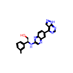 Cc1cccc([C@@H](CO)Nc2cnc3cc(-c4ncnc5[nH]ncc45)ccc3n2)c1